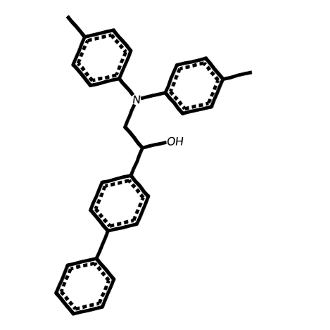 Cc1ccc(N(CC(O)c2ccc(-c3ccccc3)cc2)c2ccc(C)cc2)cc1